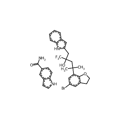 CC(C)(CC(O)(Cc1cc2ccccc2[nH]1)C(F)(F)F)c1cc(Br)cc2c1OCC2.NC(=O)c1ccc2[nH]ccc2c1